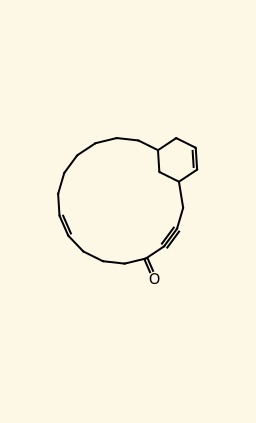 O=C1C#CCC2C=CCC(CCCCCCC=CCCC1)C2